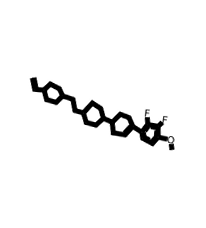 C=CC1CCC(CCC2CCC(C3CC=C(c4ccc(OC)c(F)c4F)CC3)CC2)CC1